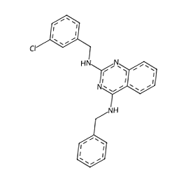 Clc1cccc(CNc2nc(NCc3ccccc3)c3ccccc3n2)c1